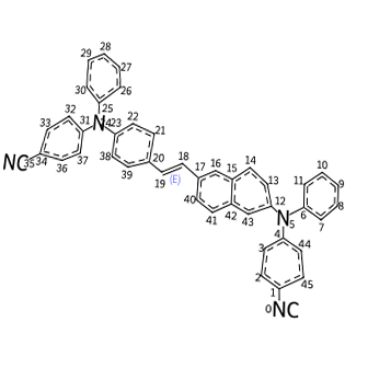 [C-]#[N+]c1ccc(N(c2ccccc2)c2ccc3cc(/C=C/c4ccc(N(c5ccccc5)c5ccc(C#N)cc5)cc4)ccc3c2)cc1